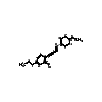 CCCc1ccc(C#C/C=C/[C@H]2CC[C@H](CC)CC2)c(F)c1